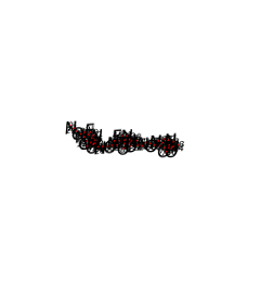 CN(C)CCCOc1ccc(-c2cc3c4c(cnc3cc2F)N(CCN(C)CCCOc2ccc(-c3cc5c6c(cnc5cc3F)N(C3CC3C3CCCN(CCCOc5ccc(-c7ccc8ncc9c(c8c7)C7(CCOCC7)C(=O)N9C7CC7)cn5)C3)C(=O)C63CCOCC3)cn2)C(=O)C42CCOCC2)cn1